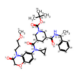 COCCCN1C(=O)COc2ccc(N(C(=O)[C@@H]3C[C@H](C(=O)N[C@H](C)c4ccccc4)CN(C(=O)OC(C)(C)C)C3)C3CC3)cc21